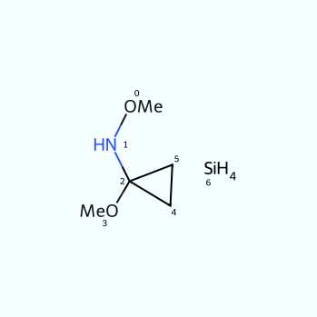 CONC1(OC)CC1.[SiH4]